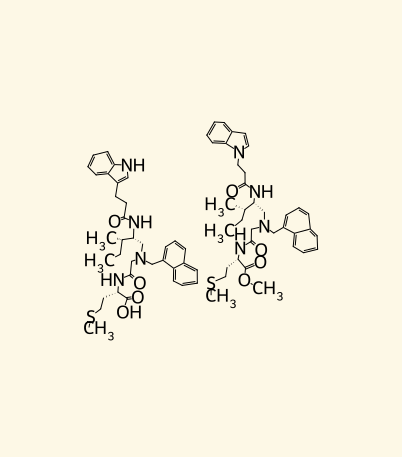 CC[C@H](C)[C@@H](CN(CC(=O)N[C@@H](CCSC)C(=O)O)Cc1cccc2ccccc12)NC(=O)CCc1c[nH]c2ccccc12.CC[C@H](C)[C@@H](CN(CC(=O)N[C@@H](CCSC)C(=O)OC)Cc1cccc2ccccc12)NC(=O)CCn1ccc2ccccc21